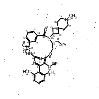 Cc1cccc(C)c1-c1nc2nc(c1OC(C)C)OC[C@@H](CC(C)C)N(C1CC3(CCN(C)CC3)C1)C(=O)c1cccc(c1)S(=O)(=O)N2